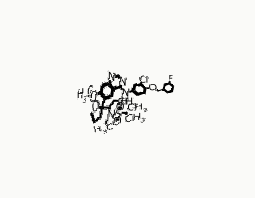 CCC(N(CC)S(=O)(=O)C(C)C)C1(c2cc3c(Nc4ccc(OCc5cccc(F)c5)c(Cl)c4)ncnc3cc2OC)CC=CO1